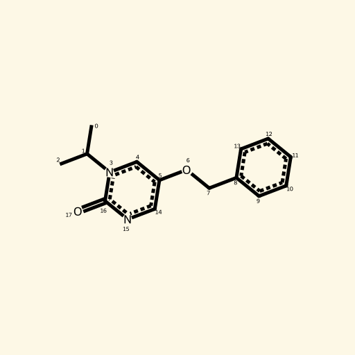 CC(C)n1cc(OCc2ccccc2)cnc1=O